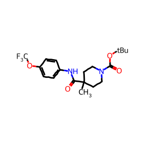 CC(C)(C)OC(=O)N1CCC(C)(C(=O)Nc2ccc(OC(F)(F)F)cc2)CC1